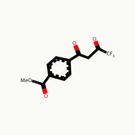 COC(=O)c1ccc(C(=O)CC(=O)C(F)(F)F)cc1